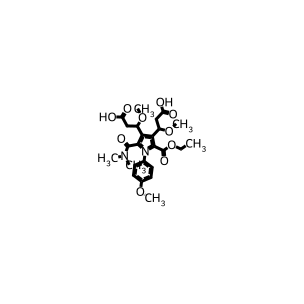 CCOC(=O)c1c(C(CC(=O)O)OC)c(C(CC(=O)O)OC)c(C(=O)N(C)C)n1-c1ccc(OC)cc1